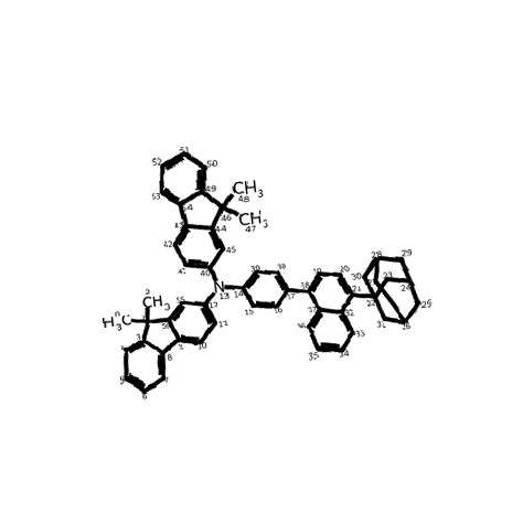 CC1(C)c2ccccc2-c2ccc(N(c3ccc(-c4ccc(C56CC7CC(CC(C7)C5)C6)c5ccccc45)cc3)c3ccc4c(c3)C(C)(C)c3ccccc3-4)cc21